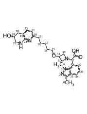 Cc1nn(C)c2c(C(C(=O)O)N3CC(OCCCCCc4ccc5c(n4)NCC(O)C5)C3)cccc12